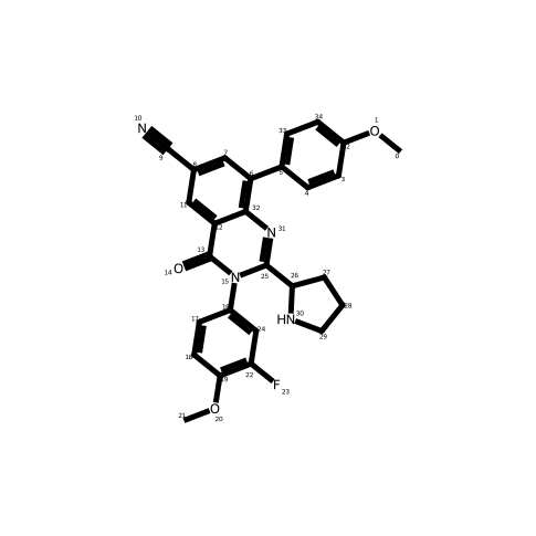 COc1ccc(-c2cc(C#N)cc3c(=O)n(-c4ccc(OC)c(F)c4)c(C4CCCN4)nc23)cc1